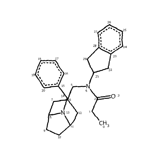 CCC(=O)N(CC1CC2CCC(C1)N2Cc1ccccc1)C1Cc2ccccc2C1